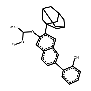 CCOC(OC)Oc1cc2ccc(-c3ccccc3O)cc2cc1C12CC3CC(CC(C3)C1)C2